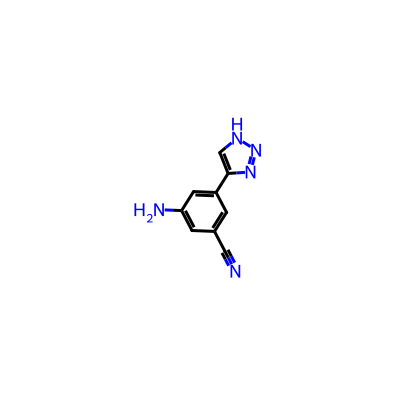 N#Cc1cc(N)cc(-c2c[nH]nn2)c1